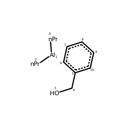 CC[CH2][Al][CH2]CC.OCc1ccccc1